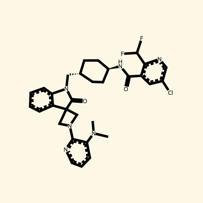 CN(C)c1cccnc1N1CC2(C1)C(=O)N(C[C@H]1CC[C@H](NC(=O)c3cc(Cl)cnc3C(F)F)CC1)c1ccccc12